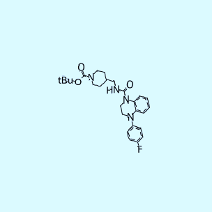 CC(C)(C)OC(=O)N1CCC(CNC(=O)N2CCN(c3ccc(F)cc3)c3ccccc32)CC1